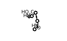 O=C(NCc1ccc(C#Cc2cccc(C(=O)O)c2-c2ccc3cc[nH]c3c2)cc1)c1ccccc1